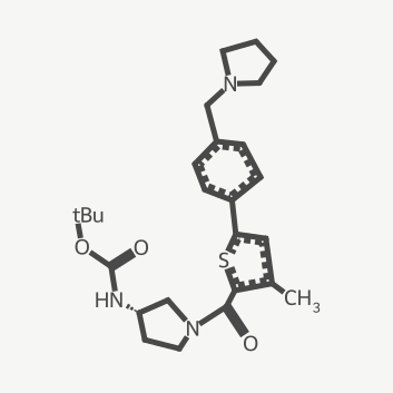 Cc1cc(-c2ccc(CN3CCCC3)cc2)sc1C(=O)N1CC[C@H](NC(=O)OC(C)(C)C)C1